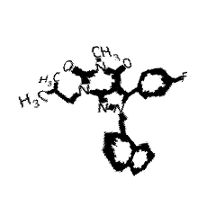 CC(C)Cn1c(=O)n(C)c(=O)c2c(-c3ccc(F)cc3)n(Cc3cccc4ccccc34)nc21